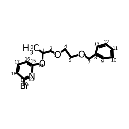 CC(COCCOCc1ccccc1)Oc1cccc(Br)n1